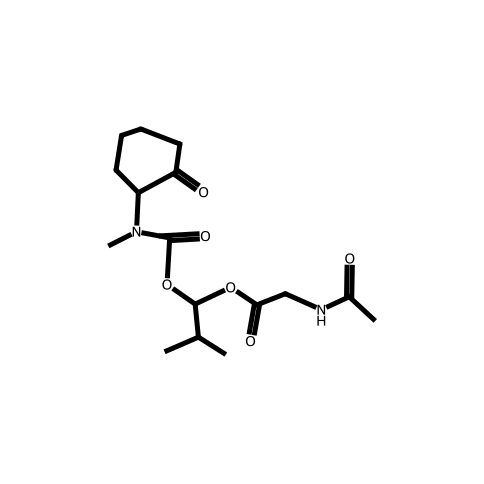 CC(=O)NCC(=O)OC(OC(=O)N(C)C1CCCCC1=O)C(C)C